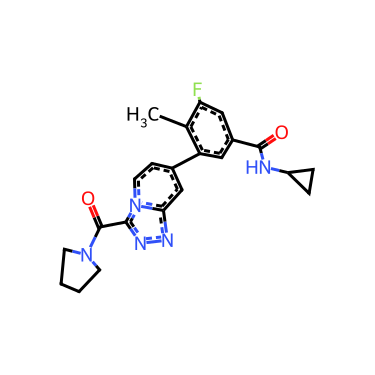 Cc1c(F)cc(C(=O)NC2CC2)cc1-c1ccn2c(C(=O)N3CCCC3)nnc2c1